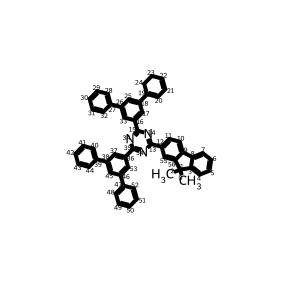 CC1(C)c2ccccc2-c2ccc(-c3nc(-c4cc(C5=CC=CCC5)cc(-c5ccccc5)c4)nc(-c4cc(-c5ccccc5)cc(-c5ccccc5)c4)n3)cc21